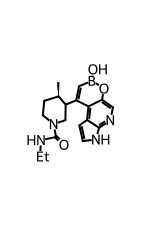 CCNC(=O)N1CC[C@@H](C)C(C2=CB(O)Oc3cnc4[nH]ccc4c32)C1